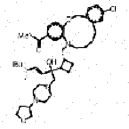 CC[C@@H](C)[C@@H](C)/C=C/C(O)(CN1CCN(C2CCOC2)CC1)[C@@H]1CC[C@H]1CN1CCCCc2cc(Cl)ccc2COc2ccc(C(=O)NC)cc21